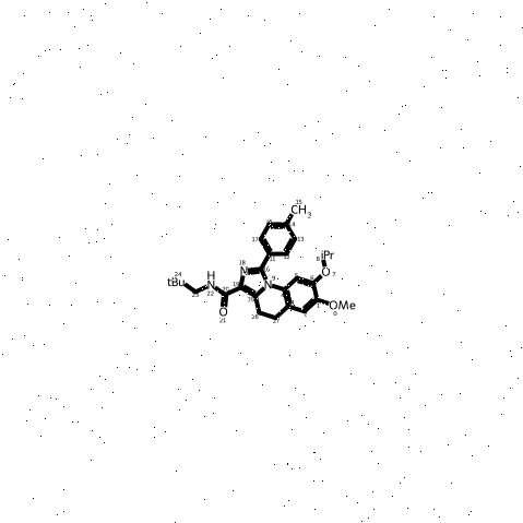 COc1cc2c(cc1OC(C)C)-n1c(-c3ccc(C)cc3)nc(C(=O)NCC(C)(C)C)c1CC2